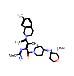 C=C(/C(C)=C(\N=C(/N)OC)C(=O)N1CCC(N[C@H]2CCOC[C@H]2OC)CC1)N1CCc2ccc(C(F)(F)F)cc2C1